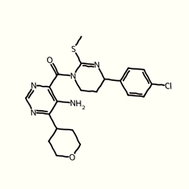 CSC1=NC(c2ccc(Cl)cc2)CCN1C(=O)c1ncnc(C2CCOCC2)c1N